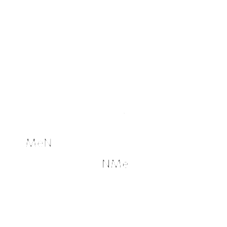 CNCC(NC)C(c1ccccc1)(c1ccccc1)c1ccccc1